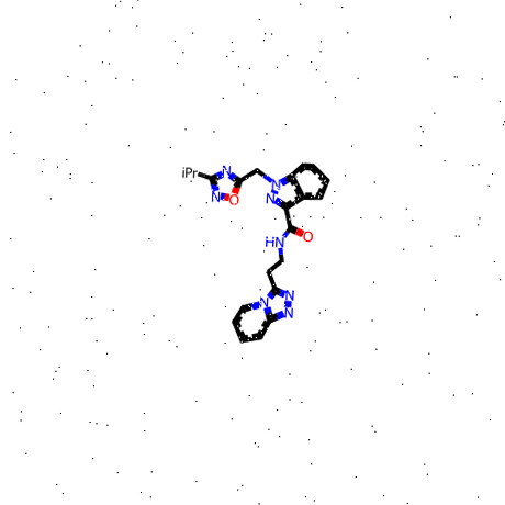 CC(C)c1noc(Cn2nc(C(=O)NCCc3nnc4ccccn34)c3ccccc32)n1